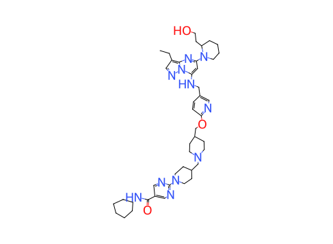 CCc1cnn2c(NCc3ccc(OCC4CCN(CC5CCN(c6ncc(C(=O)NC7CCCCC7)cn6)CC5)CC4)nc3)cc(N3CCCCC3CCO)nc12